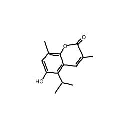 Cc1cc2c(C(C)C)c(O)cc(C)c2oc1=O